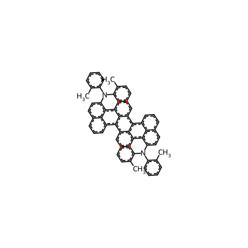 Cc1ccccc1N(c1ccccc1C)c1ccc2cccc3c2c1c1cccc2c1c3c1cccc3c4c(N(c5ccccc5C)c5ccccc5C)ccc5cccc(c54)c2c31